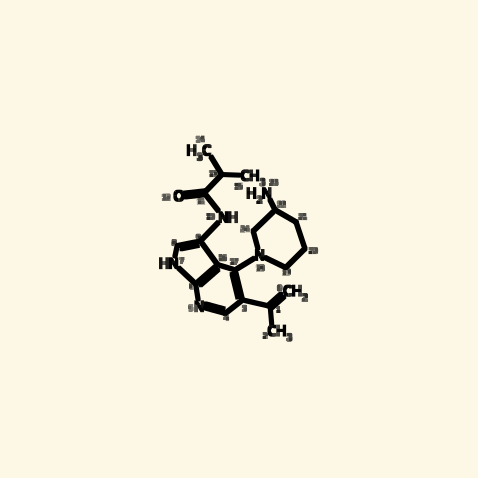 C=C(C)c1cnc2[nH]cc(NC(=O)C(C)C)c2c1N1CCCC(N)C1